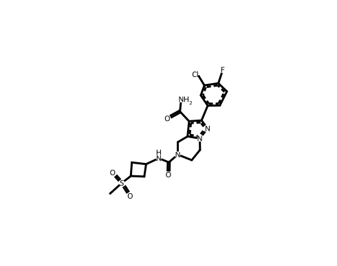 CS(=O)(=O)C1CC(NC(=O)N2CCn3nc(-c4ccc(F)c(Cl)c4)c(C(N)=O)c3C2)C1